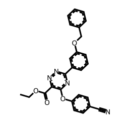 CCOC(=O)c1nnc(-c2cccc(OCc3ccccc3)c2)nc1Oc1ccc(C#N)cc1